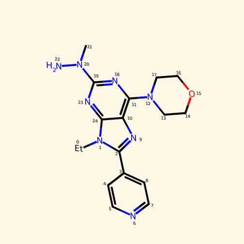 CCn1c(-c2ccncc2)nc2c(N3CCOCC3)nc(N(C)N)nc21